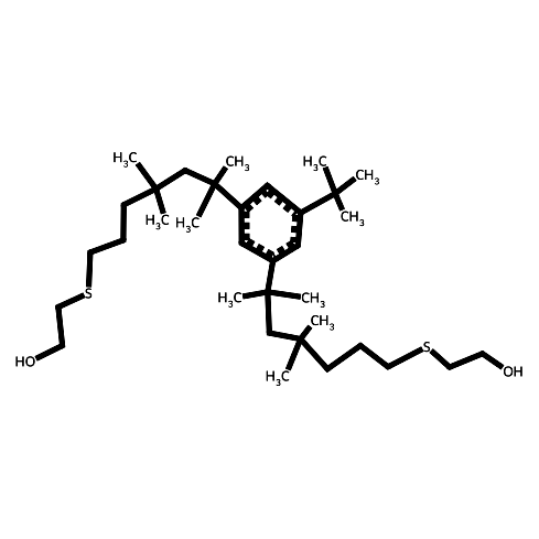 CC(C)(CCCSCCO)CC(C)(C)c1cc(C(C)(C)C)cc(C(C)(C)CC(C)(C)CCCSCCO)c1